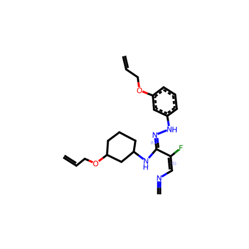 C=CCOc1cccc(N/N=C(NC2CCCC(OCC=C)C2)\C(F)=C/N=C)c1